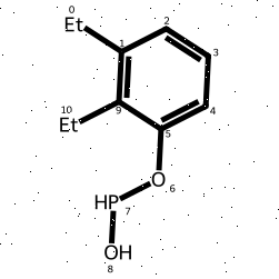 CCc1cccc(OPO)c1CC